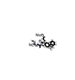 C=N/C(C#N)=N\C=C(/C)N1C[C@]2(CC[C@](c3ccccc3)(N(C)C)CC2)N(CCCOC)C1=O